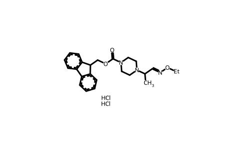 CCON=CC(C)N1CCN(C(=O)OCC2c3ccccc3-c3ccccc32)CC1.Cl.Cl